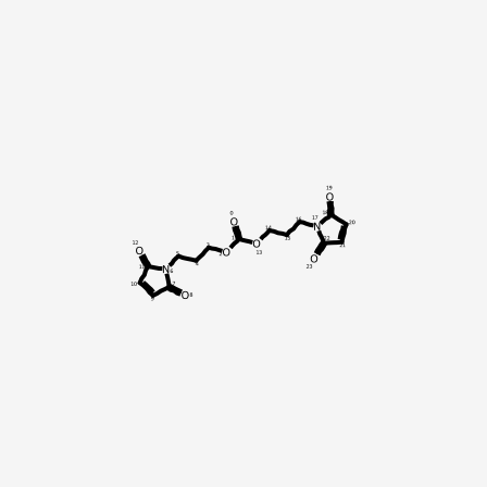 O=C(OCCCN1C(=O)C=CC1=O)OCCCN1C(=O)C=CC1=O